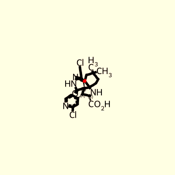 CC1(C)CCC2(CC1)N[C@@H](C(=O)O)[C@H](c1ccnc(Cl)c1)[C@]21C(=O)Nc2nc(Cl)ccc21